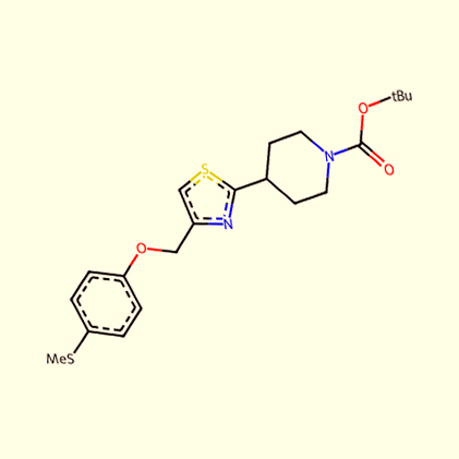 CSc1ccc(OCc2csc(C3CCN(C(=O)OC(C)(C)C)CC3)n2)cc1